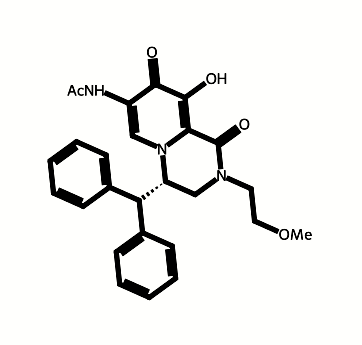 COCCN1C[C@H](C(c2ccccc2)c2ccccc2)n2cc(NC(C)=O)c(=O)c(O)c2C1=O